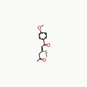 COc1ccc(C(=O)C=C(CC(C)=O)SC)cc1